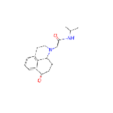 CC(C)NC(=O)CN1CCc2cccc3c2C1CCC3=O